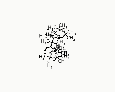 CCC(C(C)(CN)C(CC)[Si]1(C)CC(C)(C)O[Si](C)(C)[Si]1(C)C)[Si]1(C)CC(C)(C)O[Si](C)(C)[Si]1(C)C